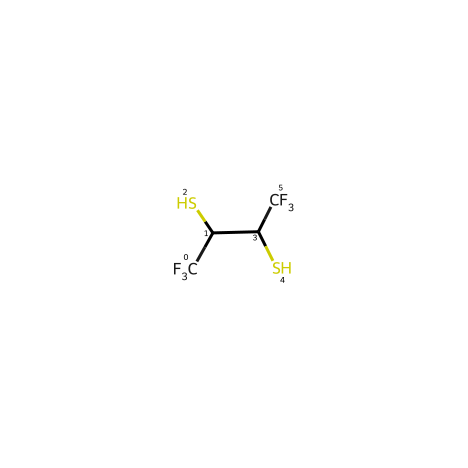 FC(F)(F)C(S)C(S)C(F)(F)F